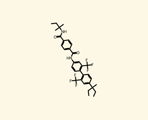 CCC(C)(C)NC(=O)c1ccc(C(=O)Nc2ccc(-c3ccc(C(C)(CC)CC)cc3C(F)(F)F)c(C(F)(F)F)c2)cc1